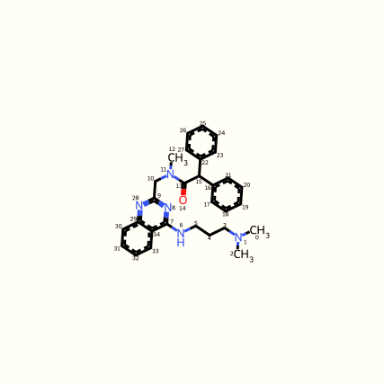 CN(C)CCCNc1nc(CN(C)C(=O)C(c2ccccc2)c2ccccc2)nc2ccccc12